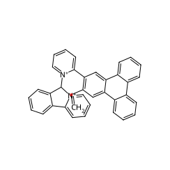 C=Cc1cc2c3ccccc3c3ccccc3c2cc1-c1cccc[n+]1C1c2ccccc2-c2cccc[n+]21